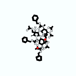 CC(=O)OC[C@@H]1O[C@H](O[C@H]2[C@H](O[C@H]3[C@H](NC(=O)OCc4ccccc4)[C@@H](OC(C)=O)[C@H](NC(=O)OCc4ccccc4)[C@@H](OC(C)=O)[C@@H]3OC(C)=O)O[C@@H](C)[C@]2(O)COC(C)=O)[C@@H](N(C)C(=O)OCc2ccccc2)[C@H](OC(C)=O)[C@H]1OC(C)=O